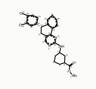 CC(C)(C)OC(=O)C1CCCC(Nc2ncc3c(n2)-c2ccccc2[C@@H](c2ccc(Cl)c(Cl)c2)C3)C1